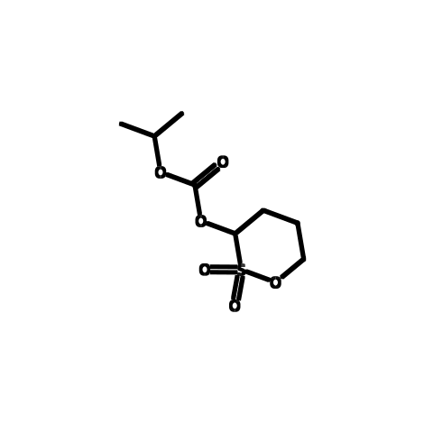 CC(C)OC(=O)OC1CCCOS1(=O)=O